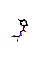 Cc1cccc(C(O)CN[C@@H](C)CO)c1